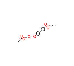 CCCCOC(=O)c1ccc(-c2ccc(OCCOCCOC(=O)C(C)(C)CC)cc2)cc1